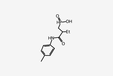 CCC(C[PH](=O)O)C(=O)Nc1ccc(C)cc1